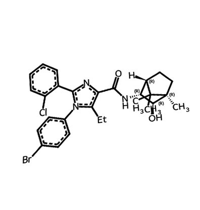 CCc1c(C(=O)N[C@@H]2[C@@H]3CC[C@@](C)([C@H]2O)C3(C)C)nc(-c2ccccc2Cl)n1-c1ccc(Br)cc1